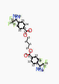 O=C(OCCCCOC(=O)c1ccc(C2(C(F)(F)F)N=N2)cc1)c1ccc(C2(C(F)(F)F)N=N2)cc1